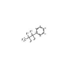 FC(F)(F)C(F)(F)C(F)(F)c1[c]cccc1